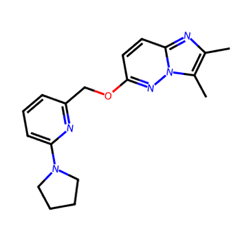 Cc1nc2ccc(OCc3cccc(N4CCCC4)n3)nn2c1C